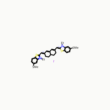 CCN1/C(=C/C2=CC3=C/C(=C/c4sc5ccc(SC)cc5[n+]4CC)CCC3CC2)Sc2ccc(SC)cc21.[I-]